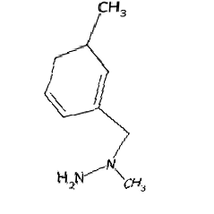 CC1C=C(CN(C)N)C=CC1